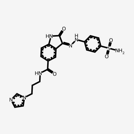 NS(=O)(=O)c1ccc(NN=C2C(=O)Nc3ccc(C(=O)NCCCn4ccnc4)cc32)cc1